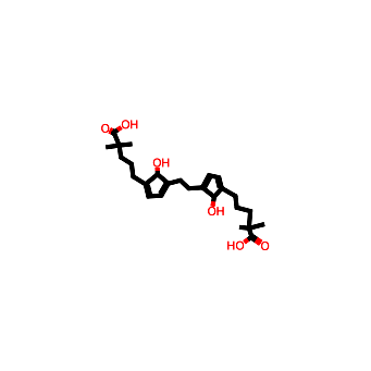 CC(C)(CCCC1=CC=C(CCC2=CC=C(CCCC(C)(C)C(=O)O)C2O)C1O)C(=O)O